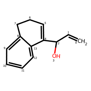 C=CC(O)C1=CCCc2ccccc21